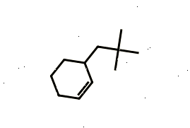 CC(C)(C)CC1C=CCCC1